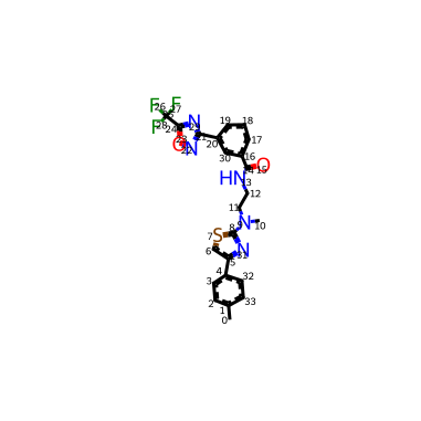 Cc1ccc(-c2csc(N(C)CCNC(=O)c3cccc(-c4noc(C(F)(F)F)n4)c3)n2)cc1